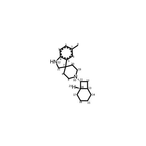 Cc1ccc2c(c1)C1(CCN([C@@H]3CC4CCCC[C@@H]43)CC1)CN2